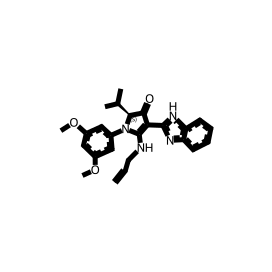 C=CCNC1=C(c2nc3ccccc3[nH]2)C(=O)[C@H](C(C)C)N1c1cc(OC)cc(OC)c1